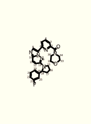 O=C(c1cccc(-c2cnc3ccc(N4CCCC4c4cccc(F)c4)nn23)n1)N1CCOCC1